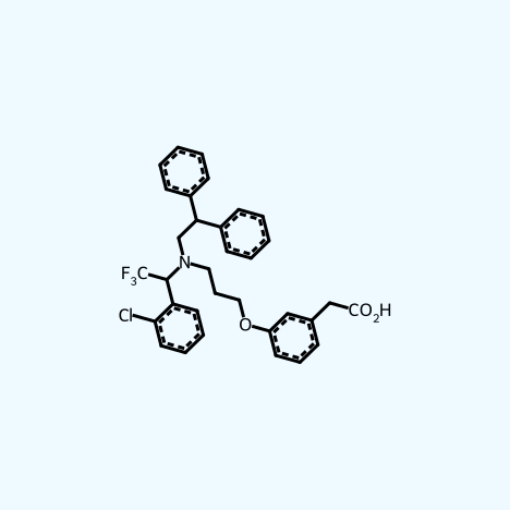 O=C(O)Cc1cccc(OCCCN(CC(c2ccccc2)c2ccccc2)C(c2ccccc2Cl)C(F)(F)F)c1